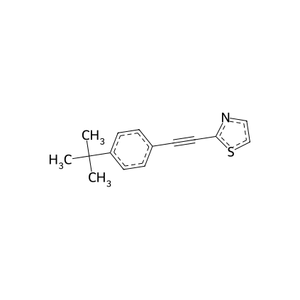 CC(C)(C)c1ccc(C#Cc2nccs2)cc1